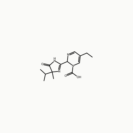 CCC1=CN(C(=O)O)C(C2=NC(C)(C(C)C)C(=O)N2)N=C1